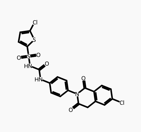 O=C(Nc1ccc(N2C(=O)Cc3cc(Cl)ccc3C2=O)cc1)NS(=O)(=O)c1ccc(Cl)s1